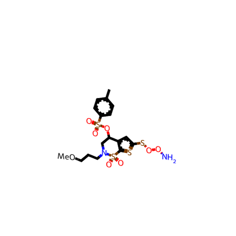 COCCCN1CC(OS(=O)(=O)c2ccc(C)cc2)c2cc(SOON)sc2S1(=O)=O